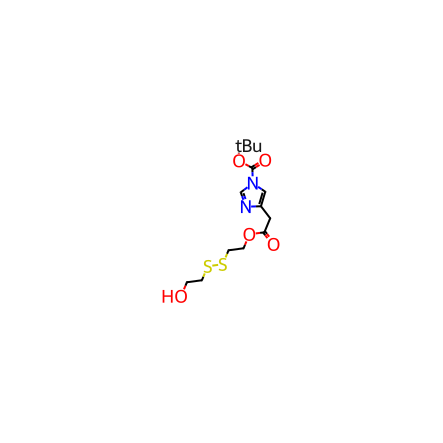 CC(C)(C)OC(=O)n1cnc(CC(=O)OCCSSCCO)c1